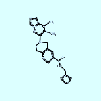 Cc1c(N2CCc3ncc(C(O)NCc4cncs4)cc3C2)nn2cnnc2c1C